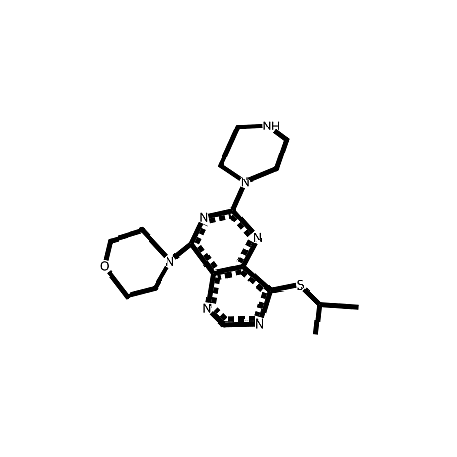 CC(C)Sc1ncnc2c(N3CCOCC3)nc(N3CCNCC3)nc12